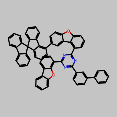 c1ccc(-c2cccc(-c3nc(-c4cccc5c4oc4ccccc45)nc(-c4cccc5oc6ccc(-c7cccc8c7-c7ccccc7C87c8ccccc8-c8ccccc87)cc6c45)n3)c2)cc1